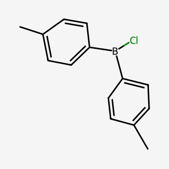 Cc1ccc(B(Cl)c2ccc(C)cc2)cc1